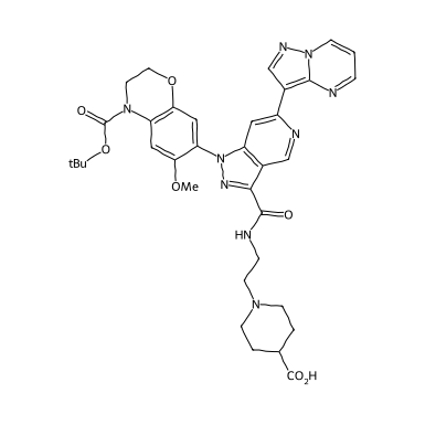 COc1cc2c(cc1-n1nc(C(=O)NCCN3CCC(C(=O)O)CC3)c3cnc(-c4cnn5cccnc45)cc31)OCCN2C(=O)OC(C)(C)C